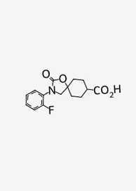 O=C(O)C1CCC2(CC1)CN(c1ccccc1F)C(=O)O2